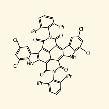 CC(C)c1cccc(C(C)C)c1N1C(=O)c2c3[nH]c4c(Cl)cc(Cl)cc4c3c3c4c(c5c([nH]c6c(Cl)cc(Cl)cc65)c(c24)C1=O)C(=O)N(c1c(C(C)C)cccc1C(C)C)C3=O